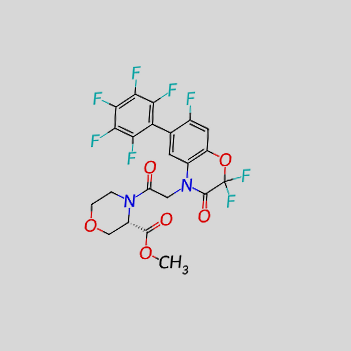 COC(=O)[C@@H]1COCCN1C(=O)CN1C(=O)C(F)(F)Oc2cc(F)c(-c3c(F)c(F)c(F)c(F)c3F)cc21